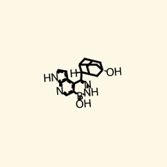 OB1NN=C([C@H]2C3CC4CC2C[C@@](O)(C4)C3)c2c1cnc1[nH]ccc21